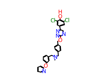 CN(Cc1ccc(COc2ncc(-c3cc(Cl)c(O)c(Cl)c3)nn2)cc1)Cc1cccc(Oc2ccccn2)c1